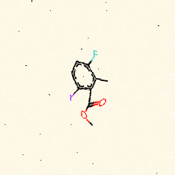 COC(=O)c1c(I)ccc(F)c1C